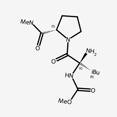 CC[C@@H](C)[C@](N)(NC(=O)OC)C(=O)N1CCC[C@H]1C(=O)NC